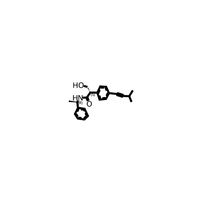 CC(C)C#Cc1ccc([C@@H](CO)C(=O)N[C@H](C)c2ccccc2)cc1